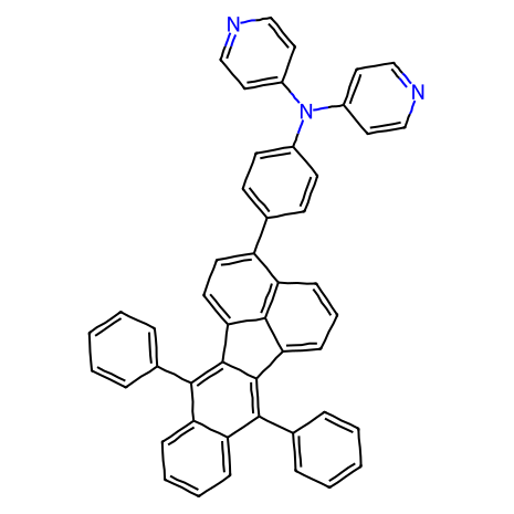 c1ccc(-c2c3c(c(-c4ccccc4)c4ccccc24)-c2ccc(-c4ccc(N(c5ccncc5)c5ccncc5)cc4)c4cccc-3c24)cc1